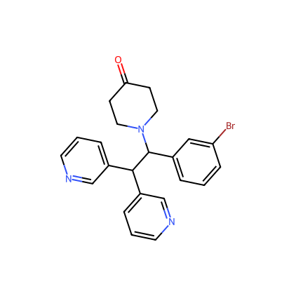 O=C1CCN(C(c2cccc(Br)c2)C(c2cccnc2)c2cccnc2)CC1